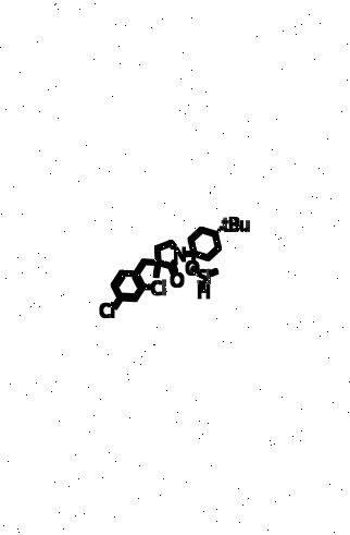 C[SiH](C)O[C@]1(N2CCC(C)(Cc3ccc(Cl)cc3Cl)C2=O)CC[C@H](C(C)(C)C)CC1